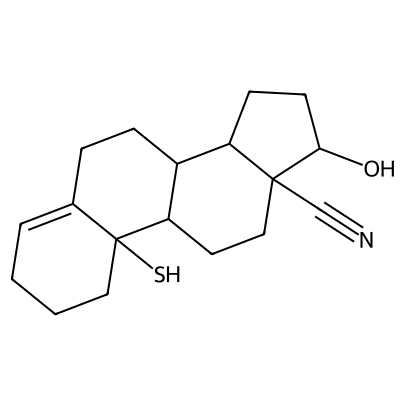 N#CC12CCC3C(CCC4=CCCCC43S)C1CCC2O